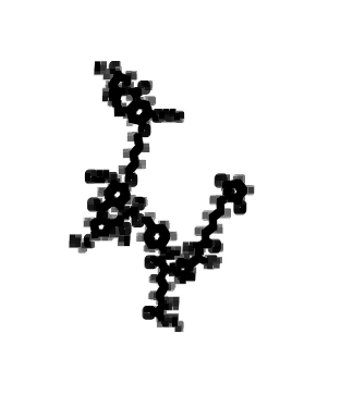 C=C1C[C@H]2C=Nc3cc(OCCCCCOc4cc5c(cc4OC)C(=O)N4CC(C)C[C@H]4[C@H](O)N5C(=O)OCc4ccc(NC(=O)[C@H](CCCNC(N)=O)n5cc([C@@H](NC(=O)CCCCCN6C(=O)C=CC6=O)C(C)C)nn5)cc4)c(OC)cc3C(=O)N2C1